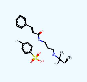 C=CC(C)(C)NCCCNC(=O)C=Cc1ccccc1.Cc1ccc(S(=O)(=O)O)cc1